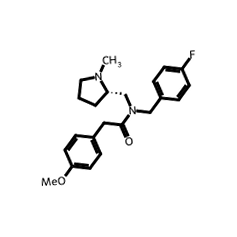 COc1ccc(CC(=O)N(Cc2ccc(F)cc2)C[C@@H]2CCCN2C)cc1